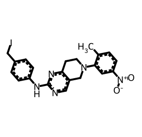 Cc1ccc([N+](=O)[O-])cc1N1CCc2nc(Nc3ccc(CI)cc3)ncc2C1